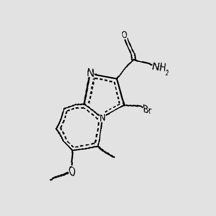 COc1ccc2nc(C(N)=O)c(Br)n2c1C